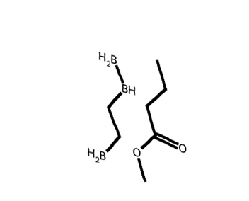 BBCCB.CCCC(=O)OC